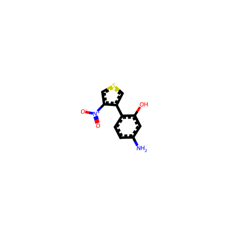 Nc1ccc(-c2cscc2[N+](=O)[O-])c(O)c1